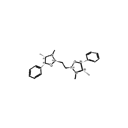 C[C@H]1[C@@H](c2ccccc2)O[P@](CC[P@@]2O[C@H](c3ccccc3)[C@H](C)N2C)N1C